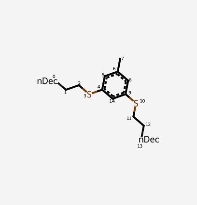 CCCCCCCCCCCCSc1cc(C)cc(SCCCCCCCCCCCC)c1